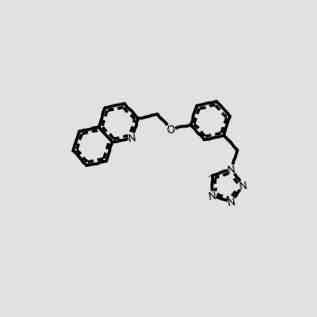 [c]1nnnn1Cc1cccc(OCc2ccc3ccccc3n2)c1